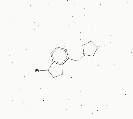 CC(C)N1CCc2c(CN3CCCC3)cccc21